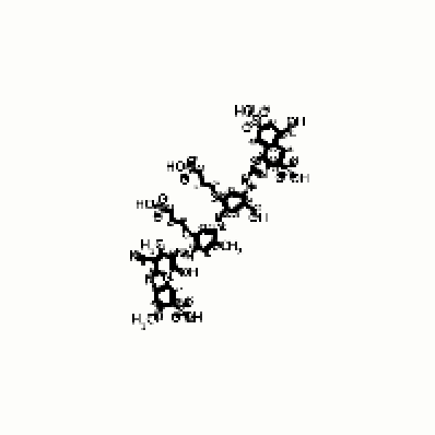 COc1cc2nc3c(C#N)c(C)c(N=Nc4cc(C)c(N=Nc5cc(CO)c(N=Nc6nc7c(S(=O)(=O)O)cc8c(CO)cc(S(=O)(=O)O)cc8c7s6)cc5SCCCS(=O)(=O)O)cc4OCCCS(=O)(=O)O)c(O)n3c2cc1S(=O)(=O)O